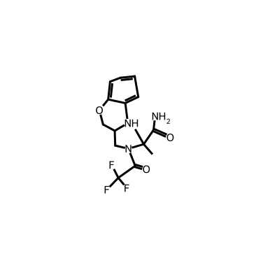 CC(C)(C(N)=O)N(CC1COc2ccccc2N1)C(=O)C(F)(F)F